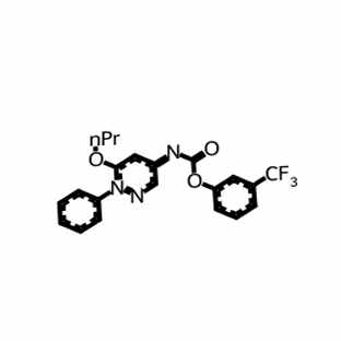 CCCOc1cc(=NC(=O)Oc2cccc(C(F)(F)F)c2)cnn1-c1ccccc1